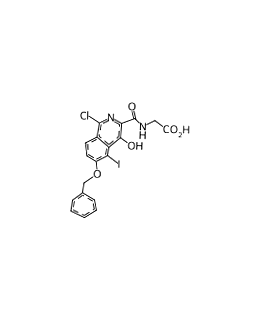 O=C(O)CNC(=O)c1nc(Cl)c2ccc(OCc3ccccc3)c(I)c2c1O